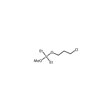 CC[Si](CC)(OC)OCCCCl